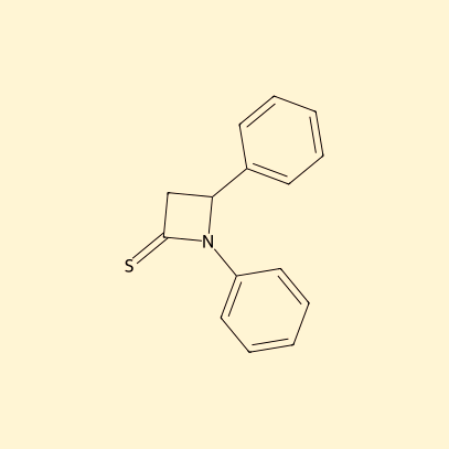 S=C1CC(c2ccccc2)N1c1ccccc1